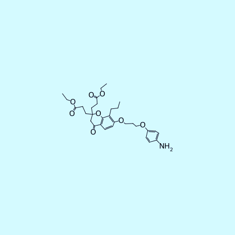 CCCc1c(OCCCOc2ccc(N)cc2)ccc2c1OC(CCC(=O)OCC)(CCC(=O)OCC)CC2=O